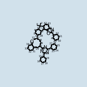 CC1(C)c2ccc(-c3ccc(-c4nc(-c5ccccc5)nc(-c5ccccc5)n4)cc4ccccc4oc3)cc2-c2c1ccc1nc(-c3ccccc3)oc21